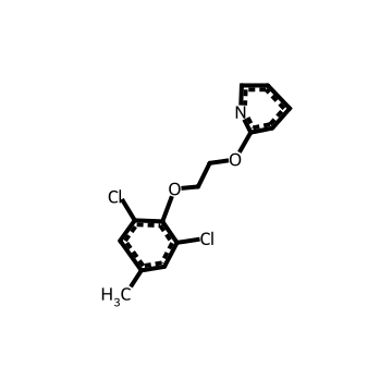 Cc1cc(Cl)c(OCCOc2ccccn2)c(Cl)c1